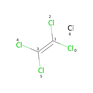 ClC(Cl)=C(Cl)Cl.[C]